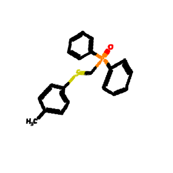 Cc1ccc(SCP(=O)(c2ccccc2)c2ccccc2)cc1